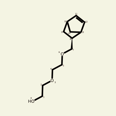 OCCOCCOC[C@H]1CC2C=CC1C2